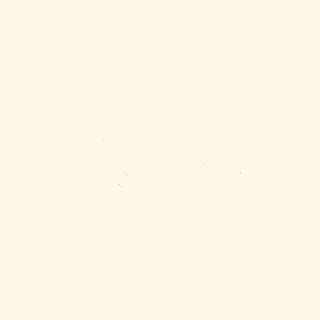 O=C1S/C(=C\c2ccc3c(cnn3Cc3ccc(Cl)cc3C(F)(F)F)c2)C(=O)N1CCN1CCCC1